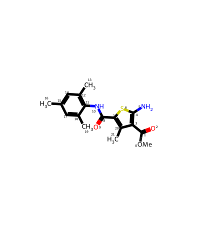 COC(=O)c1c(N)sc(C(=O)Nc2c(C)cc(C)cc2C)c1C